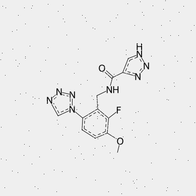 COc1ccc(-n2cnnn2)c(CNC(=O)c2c[nH]nn2)c1F